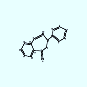 O=C1CC(c2ccccc2)N=Cc2ccccc21